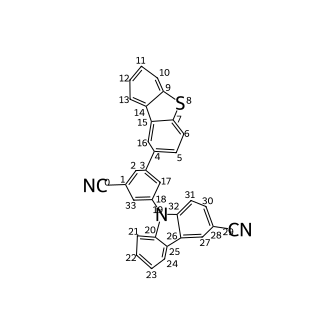 N#Cc1cc(-c2ccc3sc4ccccc4c3c2)cc(-n2c3ccccc3c3cc(C#N)ccc32)c1